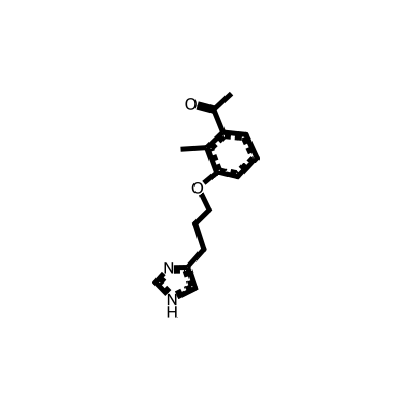 CC(=O)c1cccc(OCCCc2c[nH]cn2)c1C